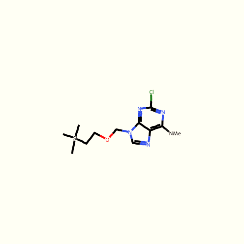 CNc1nc(Cl)nc2c1ncn2COCC[Si](C)(C)C